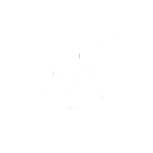 CCOC(C(=O)OCCO)(C(C)O)C(C)O